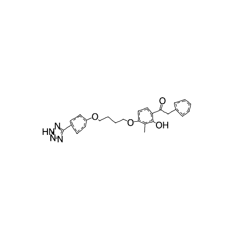 Cc1c(OCCCCOc2ccc(-c3nn[nH]n3)cc2)ccc(C(=O)Cc2ccccc2)c1O